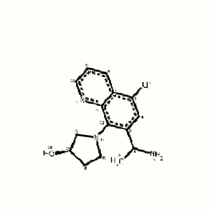 CC(N)c1cc(Cl)c2cccnc2c1N1CC[C@@H](O)C1